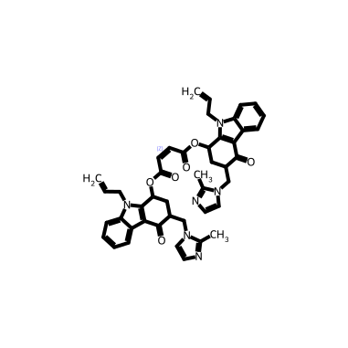 C=CCn1c2c(c3ccccc31)C(=O)C(Cn1ccnc1C)CC2OC(=O)/C=C\C(=O)OC1CC(Cn2ccnc2C)C(=O)c2c1n(CC=C)c1ccccc21